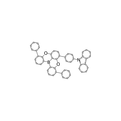 c1ccc(-c2cccc3c2Oc2ccc(-c4ccc(-n5c6ccccc6c6ccccc65)cc4)c4c2B3c2cccc(-c3ccccc3)c2O4)cc1